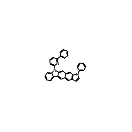 c1ccc(-c2cccc(-n3c4ccccc4c4cc5cc6ccn(-c7ccccc7)c6cc5cc43)n2)cc1